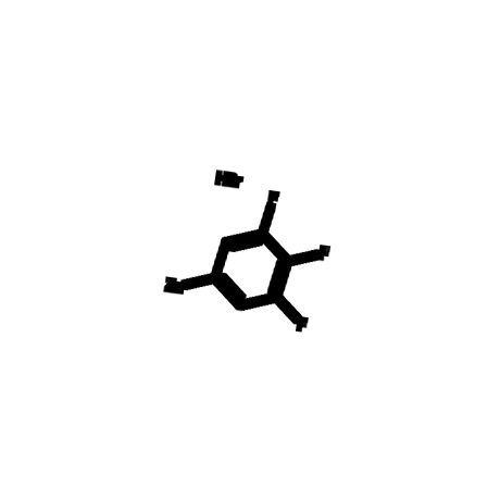 Br.Fc1c[c]([Zn])cc(F)c1F